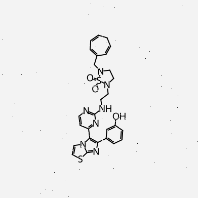 O=S1(=O)N(CCNc2nccc(-c3c(-c4cccc(O)c4)nc4sccn34)n2)CCN1CC1=CC=CCC=C1